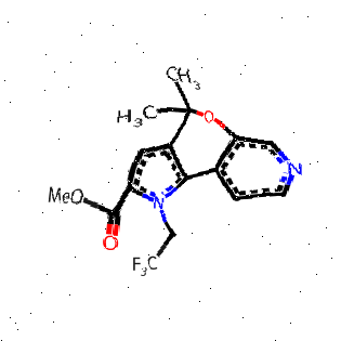 COC(=O)c1cc2c(n1CC(F)(F)F)-c1ccncc1OC2(C)C